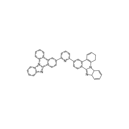 C1=CC2N=C3c4ccc(-c5cccc(-c6ccc7c(c6)c6ccccc6n6c8ccccc8nc76)n5)cc4C4=C(CCC=C4)N3C2C=C1